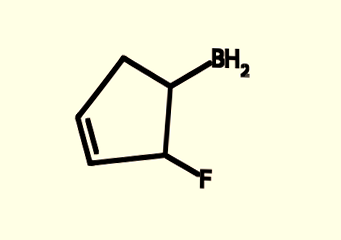 BC1CC=CC1F